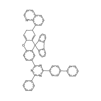 C1=C2Oc3ccc(-c4nc(-c5ccccc5)nc(-c5ccc(-c6ccccc6)cc5)n4)cc3C3(C2=CC(c2cccc4cccnc24)C1)c1ccccc1-c1ccccc13